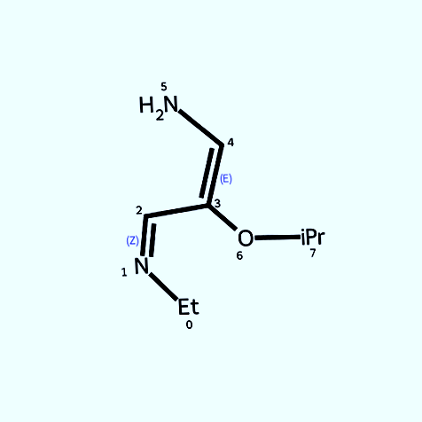 CC/N=C\C(=C/N)OC(C)C